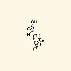 N#C/C(=C\c1cn(Cc2cc(C(F)(F)F)cc(C(F)(F)F)c2)c2ncccc12)C(=O)OCCO